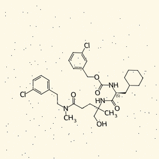 CN(CCc1cccc(Cl)c1)C(=O)CCC(C)(CO)NC(=O)[C@H](CC1CCCCC1)NC(=O)OCc1cccc(Cl)c1